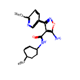 COc1ccc(-c2noc(N)c2C(=O)NC2CCC(C(C)(C)C)CC2)cn1